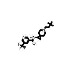 CC(C)(C)CCN1CCC2(CC1)CC2NC(=O)c1cncc(C(F)(F)F)c1